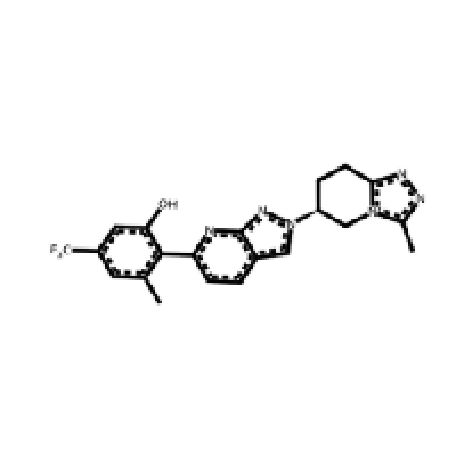 Cc1cc(C(F)(F)F)cc(O)c1-c1ccc2cn([C@H]3CCc4nnc(C)n4C3)nc2n1